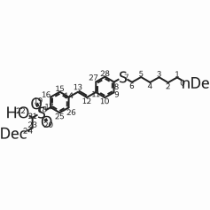 CCCCCCCCCCCCCCCCSc1ccc(C=Cc2ccc(S(=O)(=O)C(O)CCCCCCCCCCC)cc2)cc1